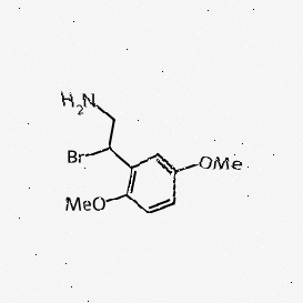 COc1ccc(OC)c(C(Br)CN)c1